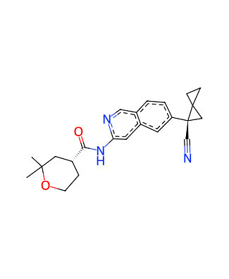 CC1(C)C[C@H](C(=O)Nc2cc3cc([C@@]4(C#N)CC45CC5)ccc3cn2)CCO1